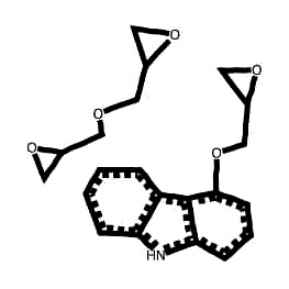 C(OCC1CO1)C1CO1.c1ccc2c(c1)[nH]c1cccc(OCC3CO3)c12